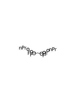 CCCc1ccc(-c2ccc(OCCCCCOc3ccc(-c4ccc(CCC)cc4)c(F)c3F)c(F)c2F)cc1